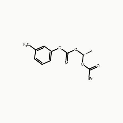 CC(C)C(=O)O[C@@H](C)OC(=O)Oc1cccc(C(F)(F)F)c1